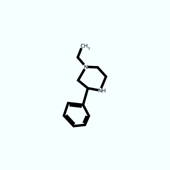 CCN1CCNC(c2ccccc2)C1